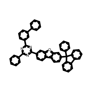 c1ccc(-c2cccc(-c3nc(-c4ccccc4)nc(-c4ccc5c(c4)oc4cc(C6(c7ccccc7)c7ccccc7-c7ccccc76)ccc45)n3)c2)cc1